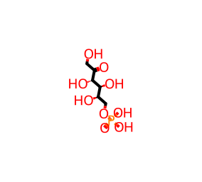 O=C(CO)[C@@H](O)[C@@H](O)[C@H](O)COP(=O)(O)O